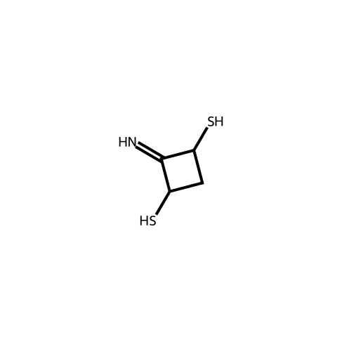 N=C1C(S)CC1S